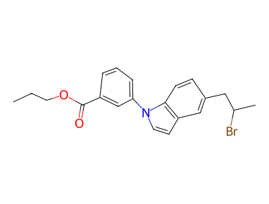 CCCOC(=O)c1cccc(-n2ccc3cc(CC(C)Br)ccc32)c1